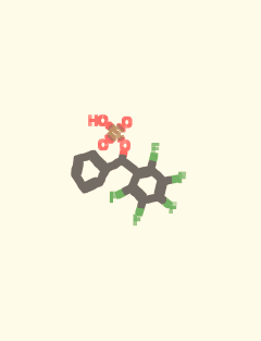 O=S(=O)(O)OC(c1ccccc1)c1c(F)c(F)c(F)c(F)c1F